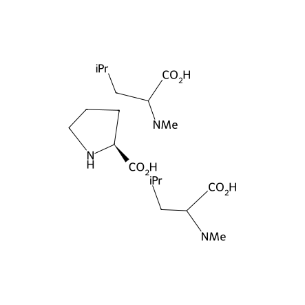 CNC(CC(C)C)C(=O)O.CNC(CC(C)C)C(=O)O.O=C(O)[C@@H]1CCCN1